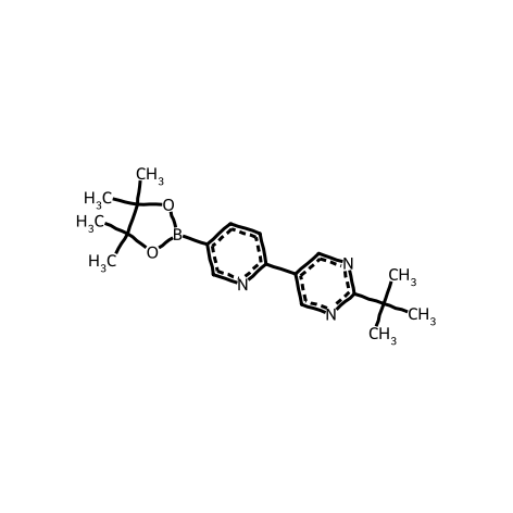 CC(C)(C)c1ncc(-c2ccc(B3OC(C)(C)C(C)(C)O3)cn2)cn1